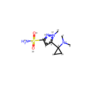 CN(C)C1(c2cc(S(N)(=O)=O)nn2C)CC1